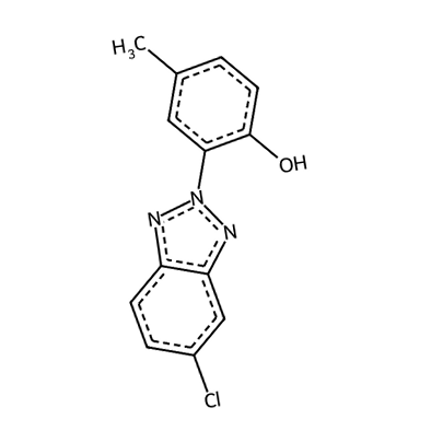 Cc1ccc(O)c(-n2nc3ccc(Cl)cc3n2)c1